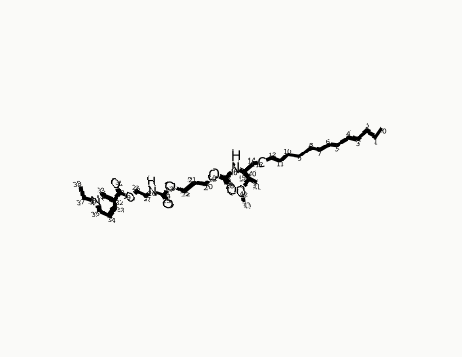 CCCCCCCCCCCCCCCC(NC(=O)OCCCOC(=O)NCCOC(=O)c1ccc[n+](CC)c1)C(C)OC